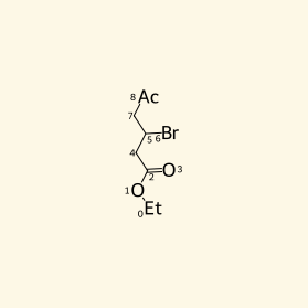 CCOC(=O)CC(Br)CC(C)=O